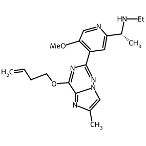 C=CCCOc1nc(-c2cc([C@@H](C)NCC)ncc2OC)nn2cc(C)nc12